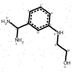 NC(N)c1cccc(NCCO)c1